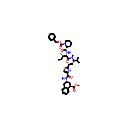 CC[C@H](C)[C@H](NC(=O)[C@H]1CCCCN1C(=O)OCc1ccccc1)C(=O)N(C)[C@H](CCc1nc(C(=O)N[C@H]2Cc3ccccc3[C@H](C(=O)OC)C2)cs1)C(C)C